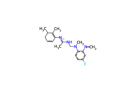 C=Nc1cc(F)ccc1N(C)CN/C(C)=N/C1=C(C)C(C)CC=C1